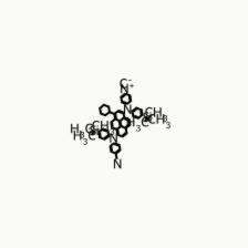 [C-]#[N+]c1ccc(N(c2ccc([Si](C)(C)C)cc2)c2cc(C3CCCCC3)c3ccc4c(N(c5ccc(C#N)cc5)c5ccc([Si](C)(C)C)cc5)ccc5ccc2c3c54)cc1